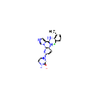 Cc1cccc(Cl)c1Nc1nc2ccc(N3CCNC(=O)C3)nc2n2cncc12